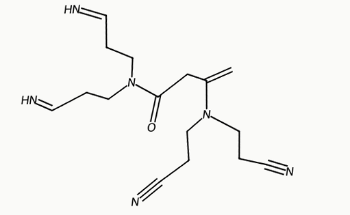 C=C(CC(=O)N(CCC=N)CCC=N)N(CCC#N)CCC#N